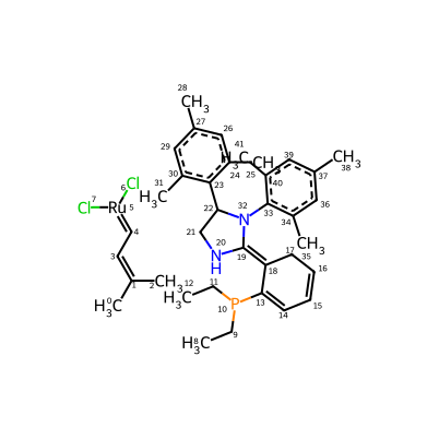 CC(C)=C[CH]=[Ru]([Cl])[Cl].CCP(CC)C1=CC=CCC1=C1NCC(c2c(C)cc(C)cc2C)N1c1c(C)cc(C)cc1C